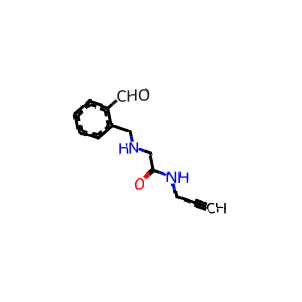 C#CCNC(=O)CNCc1ccccc1C=O